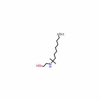 CCCCCCCCCCCCCCCC(C)(C)NCCO